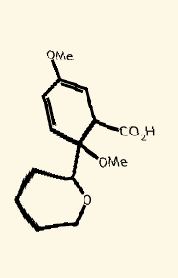 COC1=CC(C(=O)O)C(OC)(C2CCCCO2)C=C1